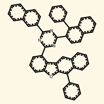 c1ccc(-c2c(-c3nc(-c4ccc5ccccc5c4)nc(-c4cccc5oc6c(-c7ccccc7)c7ccccc7cc6c45)n3)ccc3ccccc23)cc1